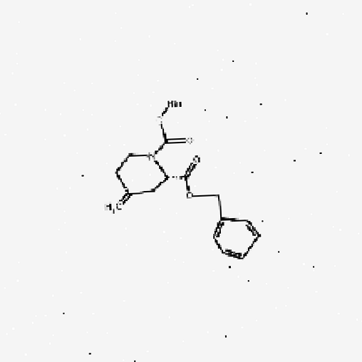 C=C1CCN(C(=O)OC(C)(C)C)[C@H](C(=O)OCc2ccccc2)C1